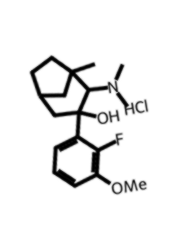 COc1cccc(C2(O)CC3CCC(C)(C3)C2N(C)C)c1F.Cl